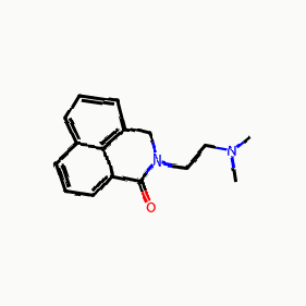 CN(C)CCN1Cc2cccc3cccc(c23)C1=O